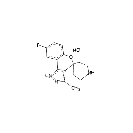 Cc1n[nH]c2c1C1(CCNCC1)Oc1ccc(F)cc1-2.Cl